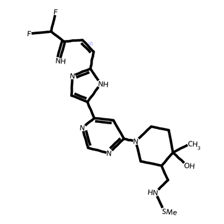 CSNCC1CN(c2cc(-c3cnc(/C=C\C(=N)C(F)F)[nH]3)ncn2)CCC1(C)O